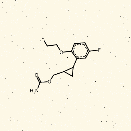 NC(=O)OCC1CC1c1cc(F)ccc1OCCF